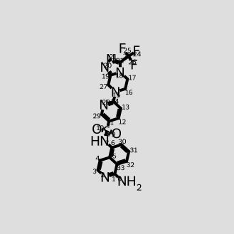 Nc1nccc2c(NS(=O)(=O)c3ccc(N4CCn5c(nnc5C(F)(F)F)C4)nc3)cccc12